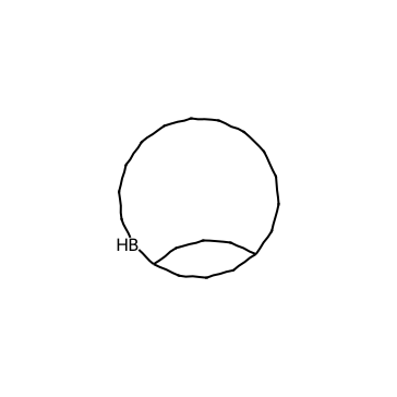 B1CCCCCCCCCCCCC2CCCC1CCC2